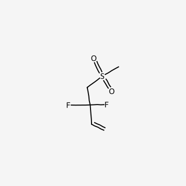 C=CC(F)(F)CS(C)(=O)=O